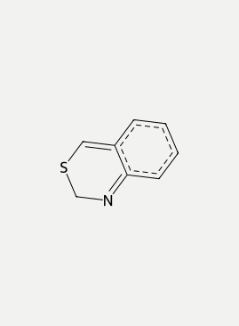 C1=c2ccccc2=NCS1